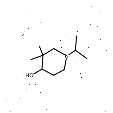 CC(C)N1CCC(O)C(C)(C)C1